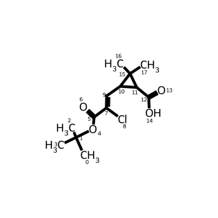 CC(C)(C)OC(=O)/C(Cl)=C/C1C(C(=O)O)C1(C)C